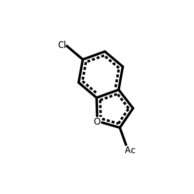 CC(=O)c1cc2ccc(Cl)cc2o1